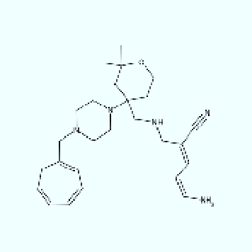 CC1(C)CC(CNC/C(C#N)=C\C=C/N)(N2CCN(CC3=CC=CC=CC3)CC2)CCO1